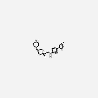 Cc1nn(C)cc1-c1ccc(NCC2CC23CCN(CC2CCOCC2)CC3)nn1